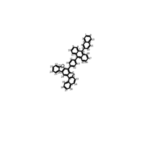 c1ccc2cc(-c3c4ccccc4c(-c4ccc(-c5c6oc7ccccc7c6cc6c5sc5ccc7ccccc7c56)cc4)c4ccccc34)ccc2c1